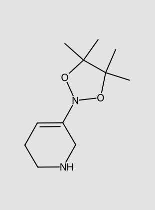 CC1(C)ON(C2=CCCNC2)OC1(C)C